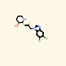 O[C@H]1CCCN[C@@H]1/C=C(\F)Cn1cnc2cc(Cl)c(Cl)cc21